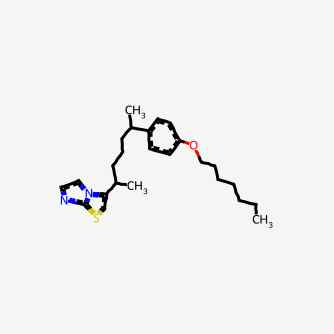 CCCCCCCOc1ccc(C(C)CCCC(C)c2csc3nccn23)cc1